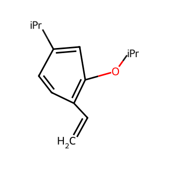 C=Cc1ccc(C(C)C)cc1OC(C)C